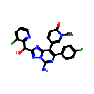 Cn1cc(-c2c(-c3ccc(F)cc3)nc(N)n3nc(C(O)c4ncccc4F)nc23)ccc1=O